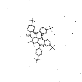 Cc1c(C)c(Nc2ccc(C(C)(C)C)cc2)c(Nc2ccc(C(C)(C)C)cc2)c(Nc2ccc(C(C)(C)C)cc2)c1Nc1ccc(C(C)(C)C)cc1